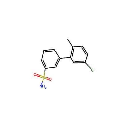 Cc1ccc(Cl)cc1-c1cccc(S(N)(=O)=O)c1